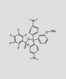 CN(C)c1ccc(S(OS(=O)(=O)c2c(F)c(F)c(F)c(F)c2F)(c2ccc(N(C)C)cc2)c2cccc(OC(C)(C)C)c2)cc1